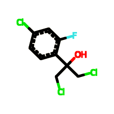 OC(CCl)(CCl)c1ccc(Cl)cc1F